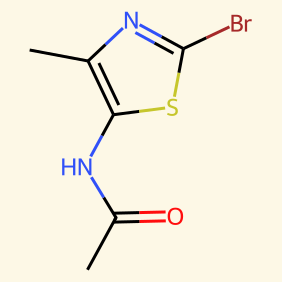 CC(=O)Nc1sc(Br)nc1C